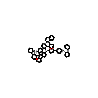 c1ccc(-c2cccc3ccccc23)c(-c2ccccc2N(c2ccc(-c3ccc(-n4c5ccccc5c5ccccc54)cc3)cc2)c2ccc3c(c2)C2(c4ccccc4-3)c3ccccc3-n3c4ccccc4c4cccc2c43)c1